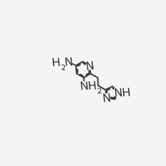 Nc1cnc(CCc2c[nH]cn2)c(N)c1